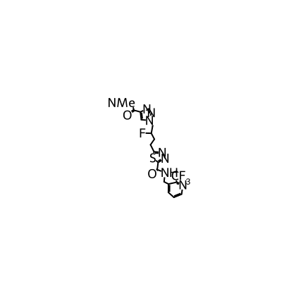 CNC(=O)c1cn(CC(F)CCc2nnc(C(=O)NCc3cccnc3C(F)(F)F)s2)nn1